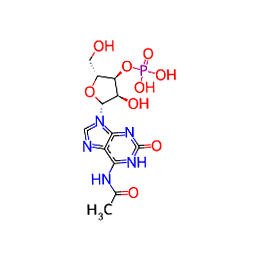 CC(=O)Nc1[nH]c(=O)nc2c1ncn2[C@@H]1O[C@H](CO)[C@@H](OP(=O)(O)O)[C@H]1O